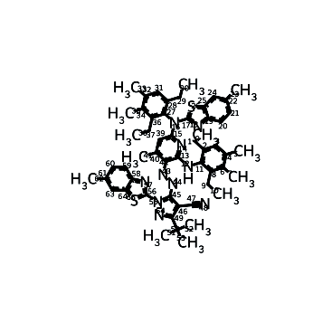 CCc1cc(C)c(C)c(CC)c1Nc1nc(N(c2nc3ccc(C)cc3s2)c2c(CC)cc(C)c(C)c2CC)cc(C)c1/N=N/c1c(C#N)c(C(C)(C)C)nn1-c1nc2ccc(C)cc2s1